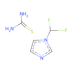 FC(F)n1ccnc1.NC(N)=S